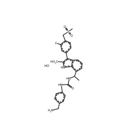 CC(NC(=O)Nc1ccc(CN)cc1)c1cccc2c(-c3ccc(CS(C)(=O)=O)c(F)c3)c(C(=O)O)[nH]c12.Cl